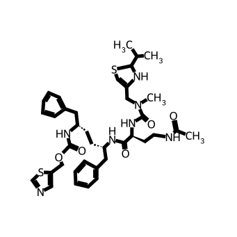 CC(=O)NCC[C@H](NC(=O)N(C)CC1=CSC(C(C)C)N1)C(=O)N[C@@H](CC[C@@H](Cc1ccccc1)NC(=O)OCc1cncs1)Cc1ccccc1